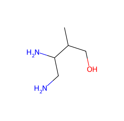 CC(CO)C(N)CN